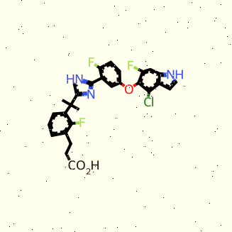 CC(C)(c1c[nH]c(-c2cc(Oc3c(F)cc4[nH]ccc4c3Cl)ccc2F)n1)c1cccc(CCC(=O)O)c1F